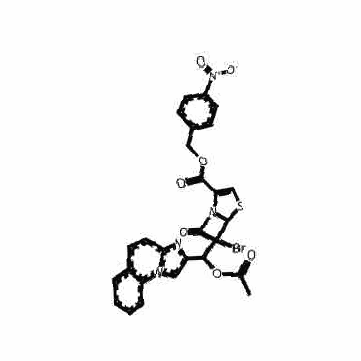 CC(=O)OC(c1cn2c(ccc3ccccc32)n1)C1(Br)C(=O)N2C(C(=O)OCc3ccc([N+](=O)[O-])cc3)=CSC21